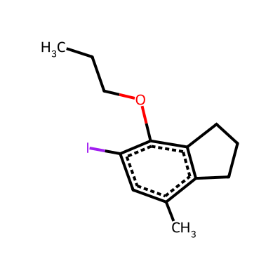 CCCOc1c(I)cc(C)c2c1CCC2